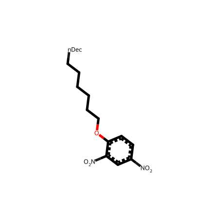 CCCCCCCCCCCCCCCCOc1ccc([N+](=O)[O-])cc1[N+](=O)[O-]